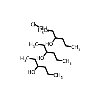 CCCC(O)CC.CCCC(O)CC.CCCC(O)CC.[SiH3]Cl